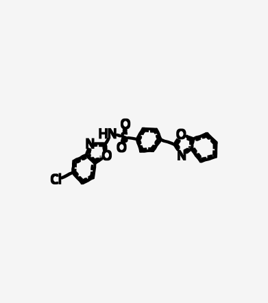 O=S(=O)(Nc1nc2cc(Cl)ccc2o1)c1ccc(-c2nc3ccccc3o2)cc1